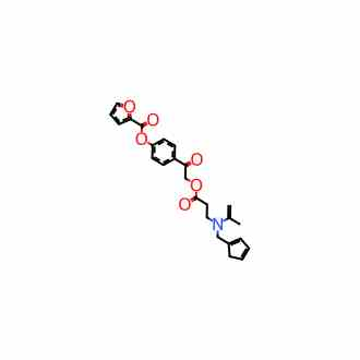 C=C(C)N(CCC(=O)OCC(=O)c1ccc(OC(=O)c2ccco2)cc1)CC1=CC=CC1